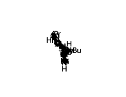 CC(C)OC(=O)N[C@H]1CC[C@H](c2ncc(-c3ccc(-c4cc[nH]n4)cc3S(=O)(=O)NC(C)(C)C)s2)CC1